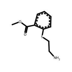 COC(=O)c1ccccc1SCCN